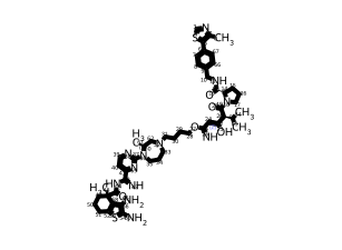 Cc1ncsc1-c1ccc(CNC(=O)[C@@H]2CCCN2C(=O)[C@H](/C(O)=C/C(=N)OCCCCN2CCCN(c3nccc(C(=N)NC(=O)[C@@]4(C)CCCc5sc(N)c(N)c54)n3)[C@@H](C)C2)C(C)C)cc1